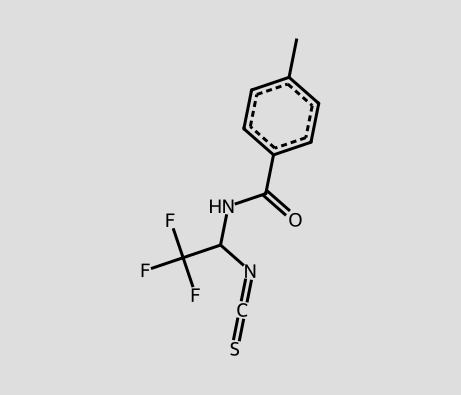 Cc1ccc(C(=O)NC(N=C=S)C(F)(F)F)cc1